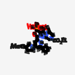 CCOC(=O)N1CCN(C(=O)C(CP(=O)(O)O)NC(=O)c2cc(N3CC[C@@H](OC)C3)cc(-c3ccccc3)n2)C(C)C1